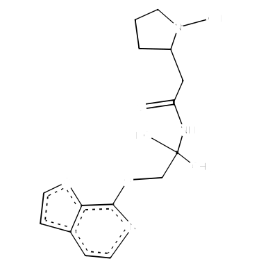 CN1CCCC1CC(=O)NC(C)(C)COc1nccc2ccoc12